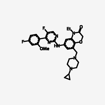 CCN1C(=O)COc2c(CN3CCN(C4CC4)CC3)cc(Nc3ncc(F)c(-c4ccc(F)cc4OC)n3)cc21